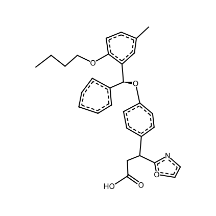 CCCCOc1ccc(C)cc1[C@@H](Oc1ccc(C(CC(=O)O)c2ncco2)cc1)c1ccccc1